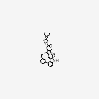 CCN(CC)C1CCN(C(=O)Cc2c(C)[nH]c(/C=C3\C(=O)Nc4cccc(-c5cccc(F)c5)c43)c2C)C1